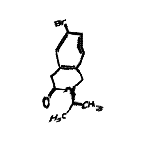 CC(C)N1Cc2ccc(Br)cc2CC1=O